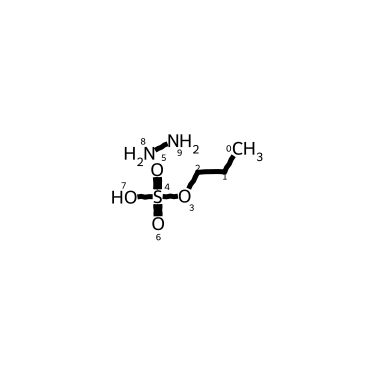 CCCOS(=O)(=O)O.NN